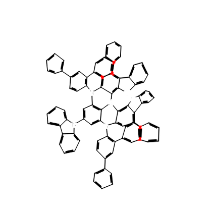 c1ccc(-c2ccc(N3c4cc(-n5c6ccccc6c6ccccc65)cc5c4B(c4c3cc(-c3ccccc3)c3c4oc4ccccc43)c3c(cc(-c4ccccc4)c4c3oc3ccccc34)N5c3ccc(-c4ccccc4)cc3-c3ccccc3)c(-c3ccccc3)c2)cc1